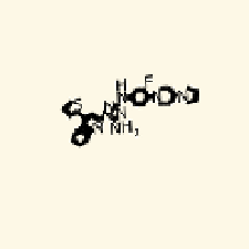 Nc1nc(Nc2ccc(N3CCC(N4CCCC4)CC3)c(F)c2)nn1-c1cc(-c2cccs2)c2c(n1)C1CCC2C1